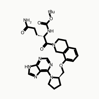 CC(C)(C)OC(=O)N[C@@H](CCC(N)=O)C(=O)N1CCc2cccc(OC[C@H]3CCCN3c3ncnc4[nH]cnc34)c2C1